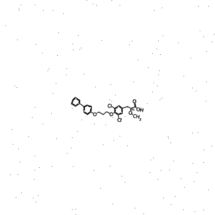 CO[C@@H](Cc1cc(Cl)c(OCCCOc2ccc(-c3ccccc3)cc2)c(Cl)c1)C(=O)O